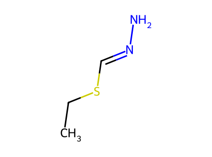 CCSC=NN